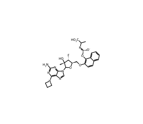 CC(/N=[P+](\[O-])Oc1c(OC[C@H]2OC(n3cnc4c(N5CCC5)nc(N)nc43)[C@](C)(O)[C@@H]2F)ccc2ccccc12)C(=O)O